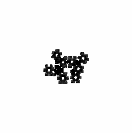 C=N/C(=N\C(=N/Cc1ccccc1)c1cc(-c2ccc3c(c2)c2c4sc5ccccc5c4ccc2n3-c2ccccc2)cc2c1sc1ccccc12)c1ccccc1